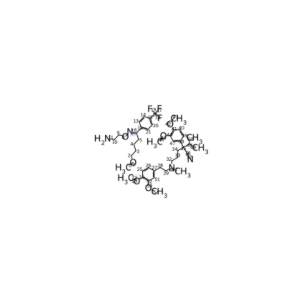 COCCCC/C(=N\OCCN)c1ccc(C(F)(F)F)cc1.COc1ccc(CCN(C)CCCC(C#N)(c2ccc(OC)c(OC)c2)C(C)C)cc1OC